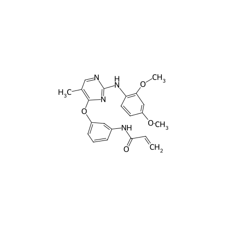 C=CC(=O)Nc1cccc(Oc2nc(Nc3ccc(OC)cc3OC)ncc2C)c1